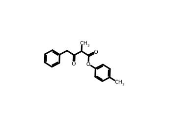 Cc1ccc(OC(=O)C(C)C(=O)Cc2ccccc2)cc1